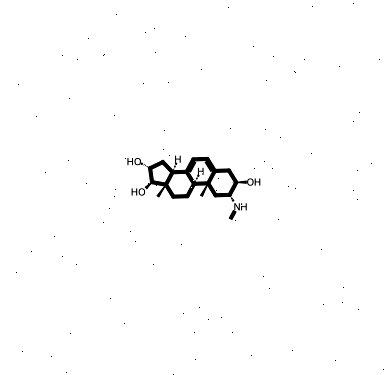 CN[C@@H]1C[C@@]2(C)C(=CC=C3[C@@H]4C[C@@H](O)[C@H](O)[C@@]4(C)CC[C@@H]32)C[C@H]1O